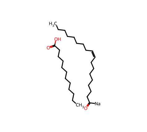 CCCCCCCC/C=C\CCCCCCC[C](=O)[Na].CCCCCCCCCCCC(=O)O